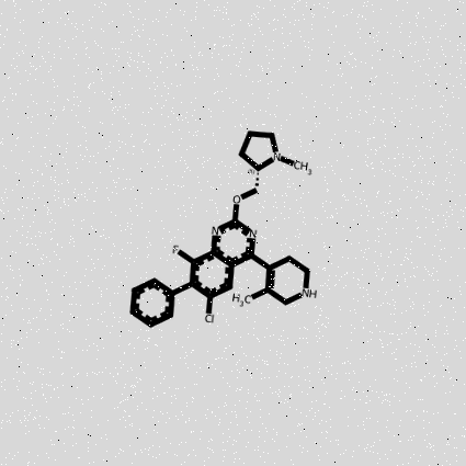 CC1=C(c2nc(OC[C@@H]3CCCN3C)nc3c(F)c(-c4ccccc4)c(Cl)cc23)CCNC1